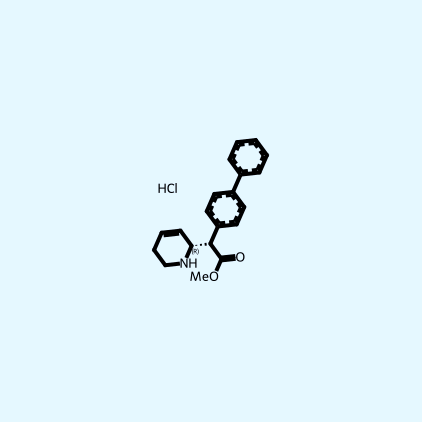 COC(=O)C(c1ccc(-c2ccccc2)cc1)[C@H]1C=CCCN1.Cl